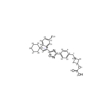 O=C(O)OC1CN(Cc2ccc(-c3noc(/C=C/C4(c5ccc(F)cc5)CCCCC4)n3)cc2)C1